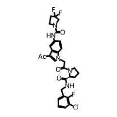 CC(=O)c1cn(CC(=O)N2CCC[C@H]2C(=O)NCc2cccc(Cl)c2F)c2ccc(NC(=O)N3CCC(F)(F)C3)cc12